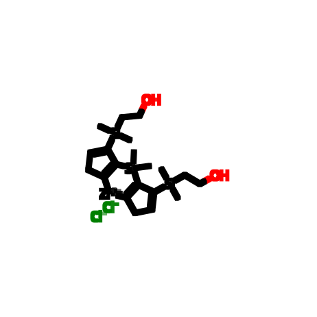 C[Si](C)(CCO)C1=CC[C]2=C1[Si](C)(C)C1=[C](CC=C1[Si](C)(C)CCO)[Zr+2]2.[Cl-].[Cl-]